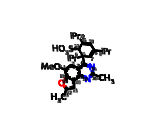 COc1cc2c(C3(C(C)C)C=C(C(C)C)C=C(C(C)C)C3S(=O)(=O)O)nc(C)nc2c2cc(C)oc12